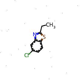 CCc1nc2cc(Cl)ccc2s1